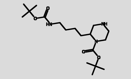 CC(C)(C)OC(=O)NCCCCC1CNCCN1C(=O)OC(C)(C)C